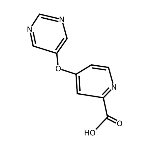 O=C(O)c1cc(Oc2cncnc2)ccn1